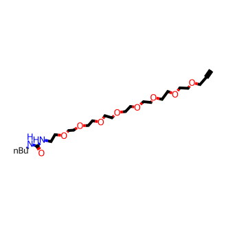 C#CCOCCOCCOCCOCCOCCOCCOCCOCCNC(=O)NCCCC